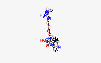 Cc1ncsc1-c1ccc(CNC(=O)[C@@H]2C[C@@H](O)CN2C(=O)[C@@H](NC(=O)COCCOCCOCCOCCn2cc(-c3cc(-c4ccccc4O)nnc3N)cn2)C(C)(C)C)cc1